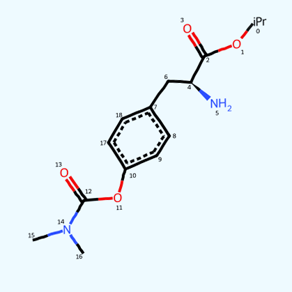 CC(C)OC(=O)[C@@H](N)Cc1ccc(OC(=O)N(C)C)cc1